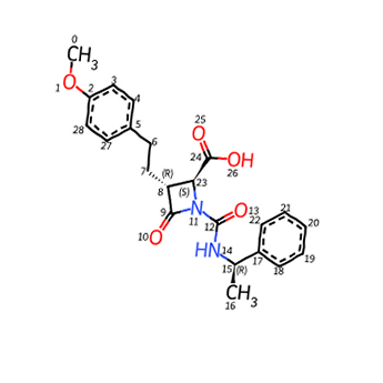 COc1ccc(CC[C@H]2C(=O)N(C(=O)N[C@H](C)c3ccccc3)[C@@H]2C(=O)O)cc1